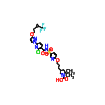 CC1(C)CC(CCCOc2ccc(S(=O)(=O)NC(=O)c3ccc(-n4ccc(OCCC5CC5C(F)(F)F)n4)nc3Cl)cn2)CN1C(=O)O